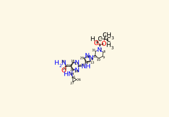 CC(C)(C)OC(=O)N1CCCC(n2cc(Nc3ncc(C(N)=O)c(NC4CC4)n3)cn2)C1